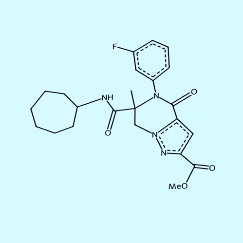 COC(=O)c1cc2n(n1)CC(C)(C(=O)NC1CCCCCC1)N(c1cccc(F)c1)C2=O